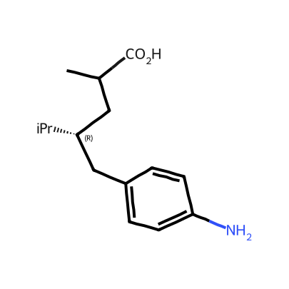 CC(C[C@H](Cc1ccc(N)cc1)C(C)C)C(=O)O